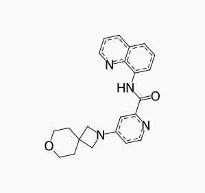 O=C(Nc1cccc2cccnc12)c1cc(N2CC3(CCOCC3)C2)ccn1